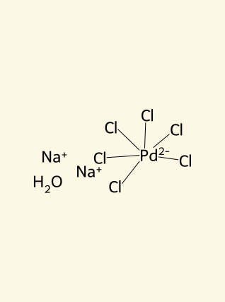 O.[Cl][Pd-2]([Cl])([Cl])([Cl])([Cl])[Cl].[Na+].[Na+]